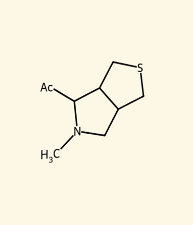 CC(=O)C1C2CSCC2CN1C